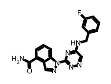 NC(=O)c1cccc2c1cnn2-c1nncc(NCc2cccc(F)c2)n1